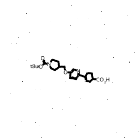 CC(C)(C)OC(=O)N1CCC(COc2ccc(C3=CCC(C(=O)O)CC3)nc2)CC1